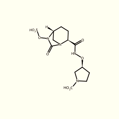 O=C(NO[C@H]1CCN(C(=O)O)C1)[C@@H]1CC[C@@H]2CN1C(=O)N2OS(=O)(=O)O